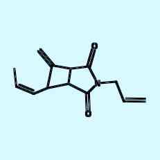 C=CCN1C(=O)C2C(=C)C(/C=C\C)C2C1=O